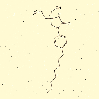 CCCCCCCCc1ccc(N2CC(CO)(CN=O)NC2=O)cc1